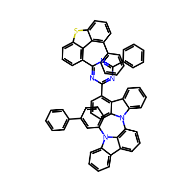 c1ccc(-c2cccc(-n3c4ccccc4c4cccc(-n5c6ccccc6c6c(-c7nc(-c8ccccc8)nc(-c8cccc9sc%10cccc(-c%11ccccc%11)c%10c89)n7)cccc65)c43)c2)cc1